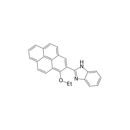 CCOc1c(-c2nc3ccccc3[nH]2)cc2ccc3cccc4ccc1c2c34